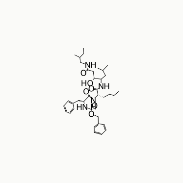 CCCC[C@H](NC(=O)[C@H](Cc1ccccc1)NC(=O)OCc1ccccc1)C(=O)NC(CC(C)C)C(O)CC(=O)NCC(C)CC